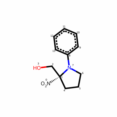 O=[N+]([O-])[C@@]1(CO)CCCN1c1ccccc1